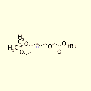 CC(C)(C)OC(=O)COC/C=C/C1CCOC(C)(C)O1